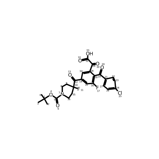 CC(C)(C)OC(=O)N1CCC(F)(C(=O)c2cc(F)c(C(=O)c3ccc(Cl)cc3)c(C(=O)C(=O)O)c2)CC1